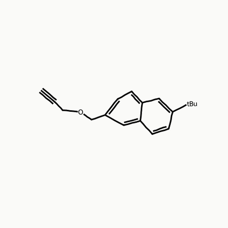 C#CCOCc1ccc2cc(C(C)(C)C)ccc2c1